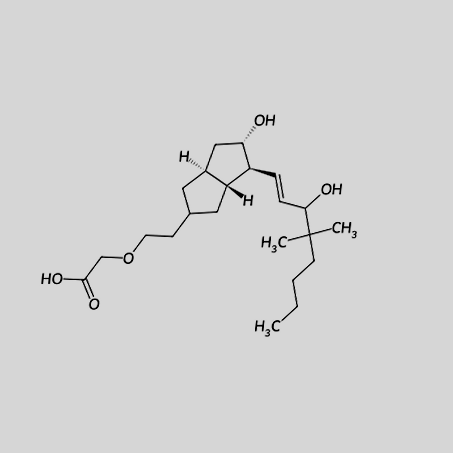 CCCCC(C)(C)C(O)C=C[C@H]1[C@@H]2CC(CCOCC(=O)O)C[C@H]2C[C@@H]1O